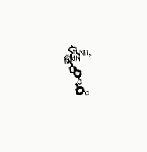 N=C(N)N1CCCC1C1NC(c2ccc3cc(OCc4cccc(Cl)c4)ccc3c2)=NO1